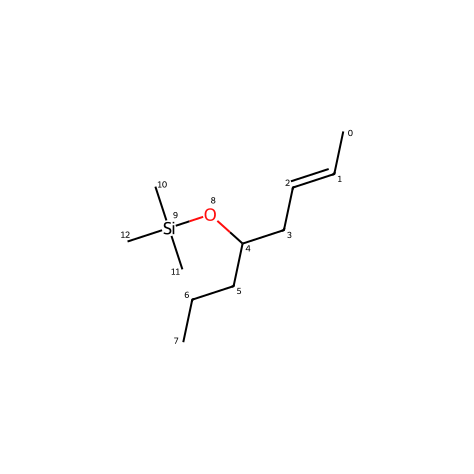 C/C=C/CC(CCC)O[Si](C)(C)C